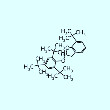 CC(C)(C)c1cc(C(C)(C)C)c(OP2(=O)Cc3cccc(C(C)(C)C)c3O2)c(C(C)(C)C)c1